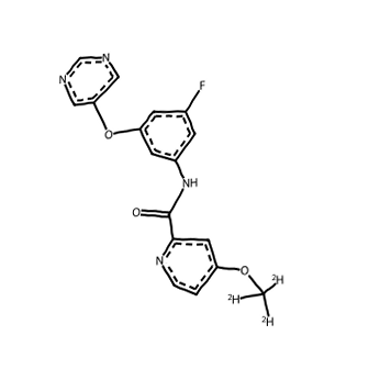 [2H]C([2H])([2H])Oc1ccnc(C(=O)Nc2cc(F)cc(Oc3cncnc3)c2)c1